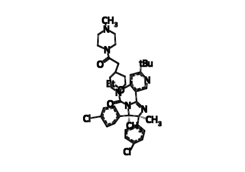 CCOc1cc(C(C)(C)C)ncc1C1=N[C@@](C)(c2ccc(Cl)cc2)[C@@](C)(c2ccc(Cl)cc2)N1C(=O)N1CCC(CC(=O)N2CCN(C)CC2)CC1